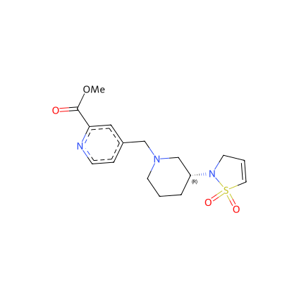 COC(=O)c1cc(CN2CCC[C@@H](N3CC=CS3(=O)=O)C2)ccn1